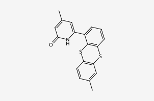 Cc1ccc2c(c1)Sc1cccc(-c3cc(C)cc(=O)[nH]3)c1S2